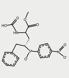 COC(=O)C(C[C@@H](Cc1ccccc1)[S+]([O-])c1ccc([N+](=O)[O-])cc1)NC(=O)O